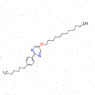 CCCCCCCCCCCCOc1cnc(-c2ccc(CCCCCC)cc2)nc1